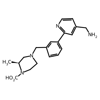 C[C@H]1CN(Cc2cccc(-c3cc(CN)ccn3)c2)CCN1C(=O)O